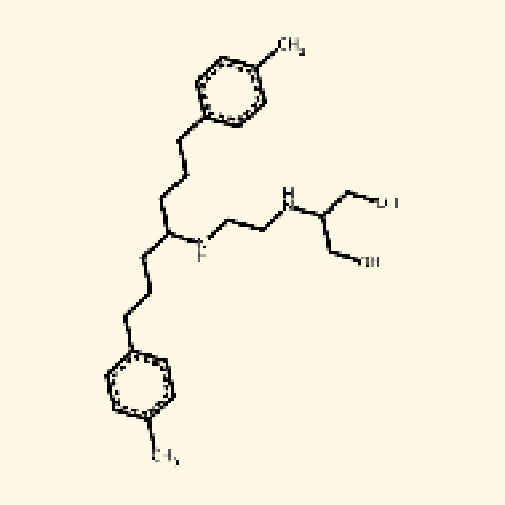 Cc1ccc(CCCC(CCCc2ccc(C)cc2)NCCNC(CO)CO)cc1